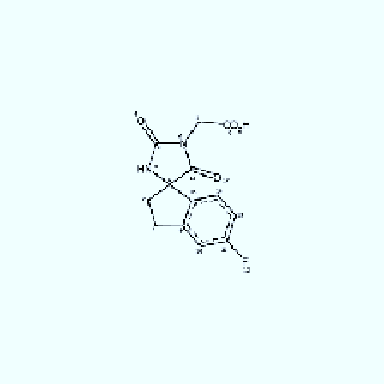 O=C(O)CN1C(=O)NC2(CCc3cc(F)ccc32)C1=O